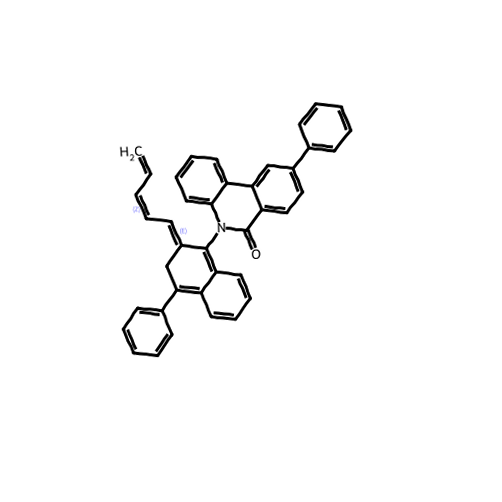 C=C/C=C\C=C1/CC(c2ccccc2)=c2ccccc2=C1n1c(=O)c2ccc(-c3ccccc3)cc2c2ccccc21